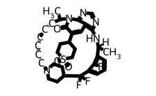 CC1CCCCCCN2CCC(CC2)C(F)(F)c2cccc(c2F)[C@@H](C)Nc2ncnc3c2cc(C2CCS(=O)(=O)CC2)c(=O)n31